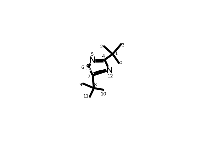 CC(C)(C)c1nsc(C(C)(C)C)n1